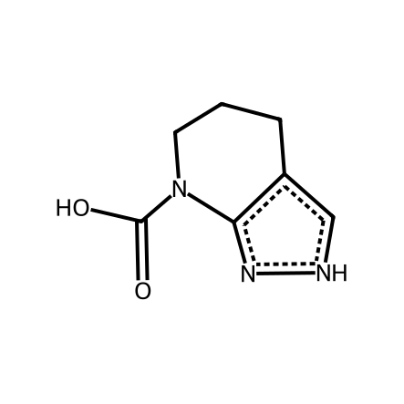 O=C(O)N1CCCc2c[nH]nc21